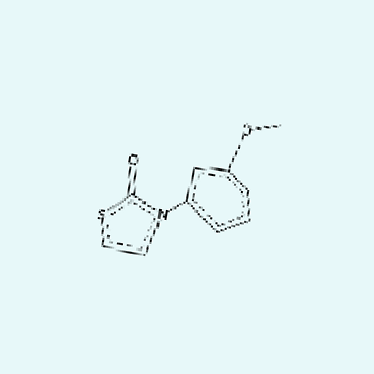 COc1cccc(-n2ccsc2=O)c1